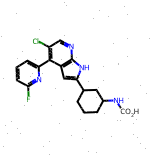 O=C(O)NC1CCCC(c2cc3c(-c4cccc(F)n4)c(Cl)cnc3[nH]2)C1